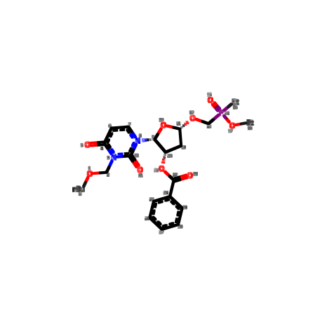 CCCCOCn1c(=O)ccn([C@@H]2O[C@H](OCP(=O)(CC)OCC)C[C@@H]2OC(=O)c2ccccc2)c1=O